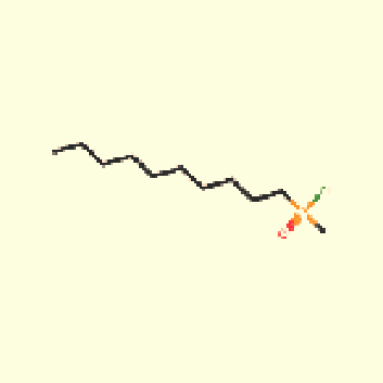 CCCCCCCCCCP(C)(=O)Cl